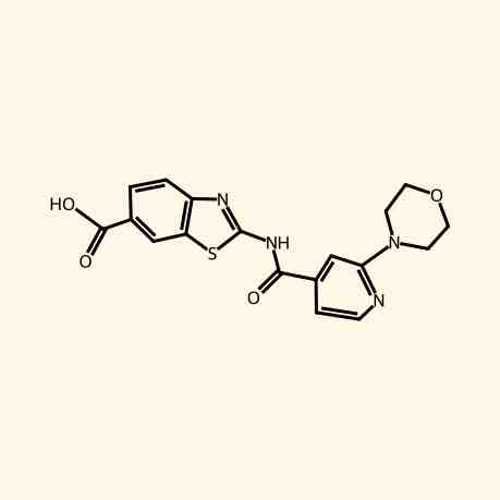 O=C(O)c1ccc2nc(NC(=O)c3ccnc(N4CCOCC4)c3)sc2c1